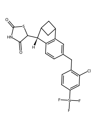 O=C1NC(=O)C([C@H]2c3ccc(Cc4ccc([Si](F)(F)F)cc4Cl)cc3C3CC2C3)S1